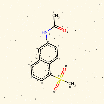 CC(=O)Nc1ccc2c(S(C)(=O)=O)cccc2c1